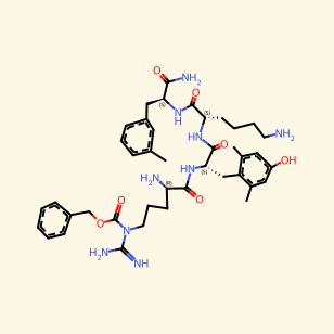 Cc1cccc(C[C@H](NC(=O)[C@H](CCCCN)NC(=O)[C@H](Cc2c(C)cc(O)cc2C)NC(=O)[C@H](N)CCCN(C(=N)N)C(=O)OCc2ccccc2)C(N)=O)c1